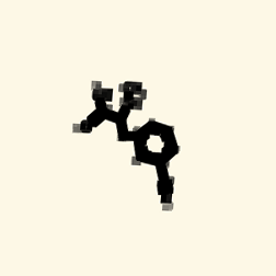 CNC(Cc1cccc(C#N)c1)C(=O)O